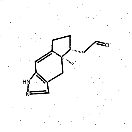 C[C@]12Cc3cn[nH]c3C=C1CC[C@@H]2CC=O